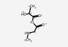 CNCC(=O)OC(=O)C(C)O